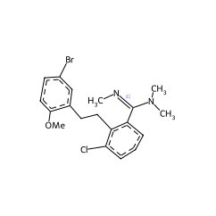 C/N=C(\c1cccc(Cl)c1CCc1cc(Br)ccc1OC)N(C)C